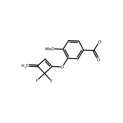 C=C1C=C(Oc2cc(C(=O)Cl)ccc2OC)C1(F)F